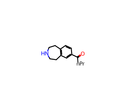 CCCC(=O)c1ccc2c(c1)CCNCC2